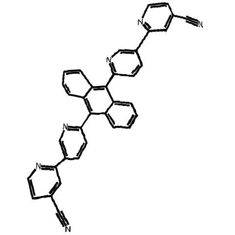 N#Cc1ccnc(-c2ccc(-c3c4ccccc4c(-c4ccc(-c5cc(C#N)ccn5)cn4)c4ccccc34)nc2)c1